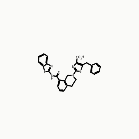 O=C(Nc1nc2ccccc2s1)c1cccc2c1CN(c1nc(C(=O)O)c(Cc3ccccc3)s1)CC2